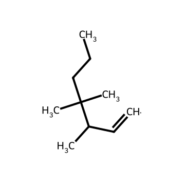 [CH]=CC(C)C(C)(C)CCC